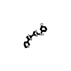 Clc1cccc(Nc2nc(-c3nc(-c4cccnc4)cs3)cs2)c1